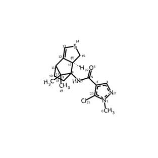 Cn1ncc(C(=O)NC23CCC(C4=CSC[C@H]42)C3(C)C)c1Cl